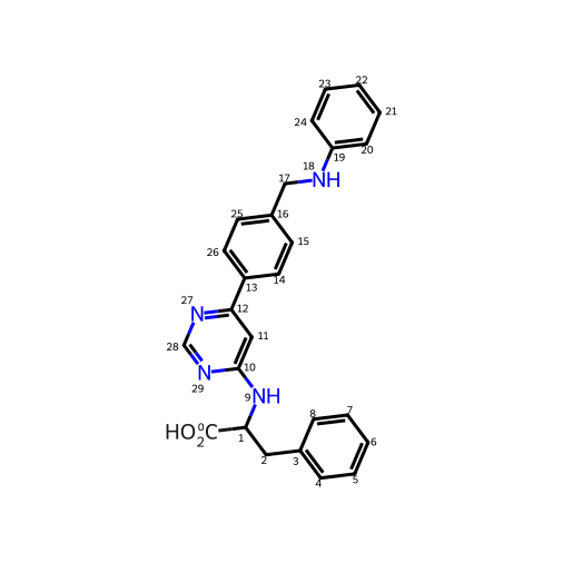 O=C(O)C(Cc1ccccc1)Nc1cc(-c2ccc(CNc3ccccc3)cc2)ncn1